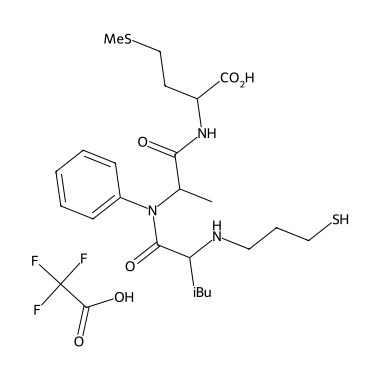 CCC(C)C(NCCCS)C(=O)N(c1ccccc1)C(C)C(=O)NC(CCSC)C(=O)O.O=C(O)C(F)(F)F